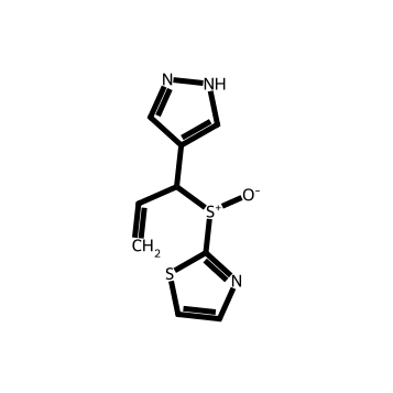 C=CC(c1cn[nH]c1)[S+]([O-])c1nccs1